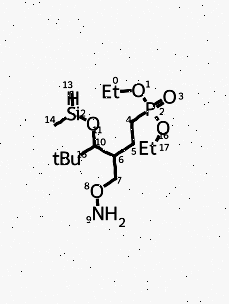 CCOP(=O)(CCC(CON)C(O[SiH](C)C)C(C)(C)C)OCC